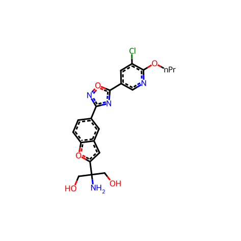 CCCOc1ncc(-c2nc(-c3ccc4oc(C(N)(CO)CO)cc4c3)no2)cc1Cl